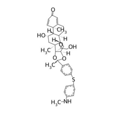 CNc1ccc(Sc2ccc([C@@]3(C)O[C@@H]4C[C@H]5[C@@H]6CCC7=CC(=O)C=C[C@]7(C)[C@H]6[C@@H](O)C[C@]5(C)[C@]4(C(=O)CO)O3)cc2)cc1